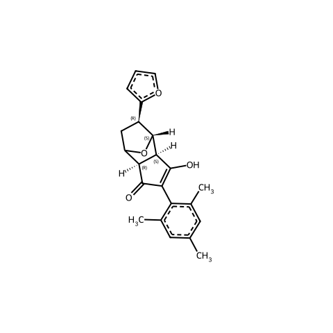 Cc1cc(C)c(C2=C(O)[C@@H]3[C@@H]4OC(C[C@H]4c4ccco4)[C@@H]3C2=O)c(C)c1